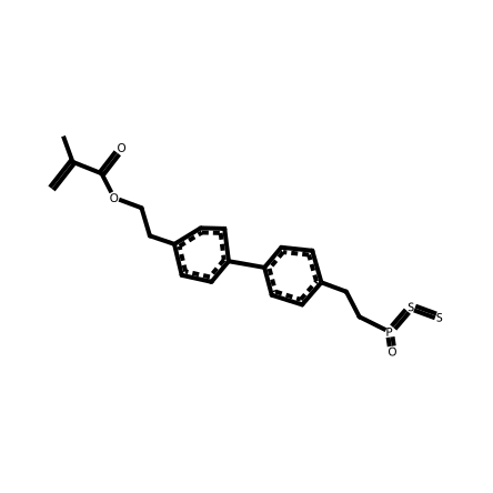 C=C(C)C(=O)OCCc1ccc(-c2ccc(CCP(=O)=S=S)cc2)cc1